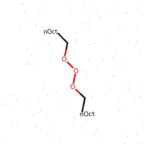 CCCCCCCCCOOOCCCCCCCCC